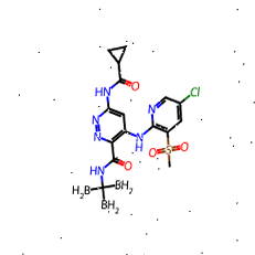 BC(B)(B)NC(=O)c1nnc(NC(=O)C2CC2)cc1Nc1ncc(Cl)cc1S(C)(=O)=O